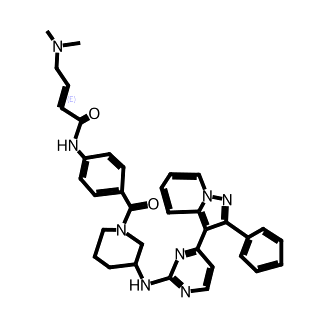 CN(C)C/C=C/C(=O)Nc1ccc(C(=O)N2CCCC(Nc3nccc(-c4c(-c5ccccc5)nn5ccccc45)n3)C2)cc1